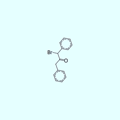 O=C(Cc1ccccc1)C(Br)c1ccccc1